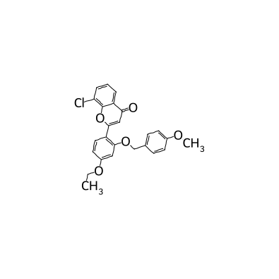 CCOc1ccc(-c2cc(=O)c3cccc(Cl)c3o2)c(OCc2ccc(OC)cc2)c1